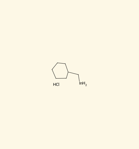 Cl.[InH2][CH2]C1CCCCC1